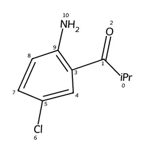 CC(C)C(=O)c1cc(Cl)ccc1N